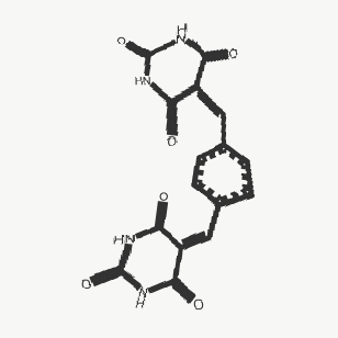 O=C1NC(=O)C(=Cc2ccc(C=C3C(=O)NC(=O)NC3=O)cc2)C(=O)N1